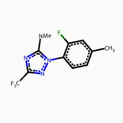 CNc1nc(C(F)(F)F)nn1-c1ccc(C)cc1F